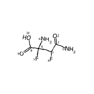 NC(=O)C(F)C(N)(F)C(=O)O